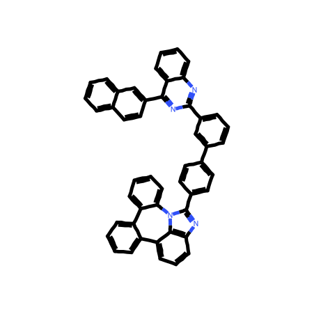 c1cc(-c2ccc(-c3nc4cccc5c4n3-c3ccccc3-c3ccccc3-5)cc2)cc(-c2nc(-c3ccc4ccccc4c3)c3ccccc3n2)c1